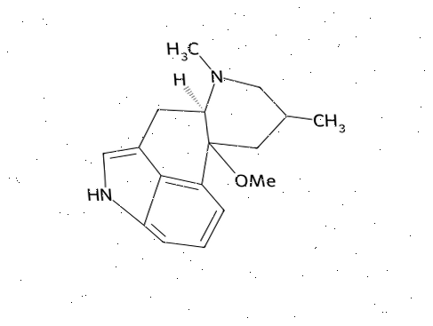 COC12CC(C)CN(C)[C@@H]1Cc1c[nH]c3cccc2c13